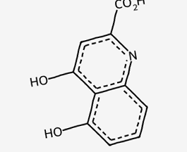 O=C(O)c1cc(O)c2c(O)cccc2n1